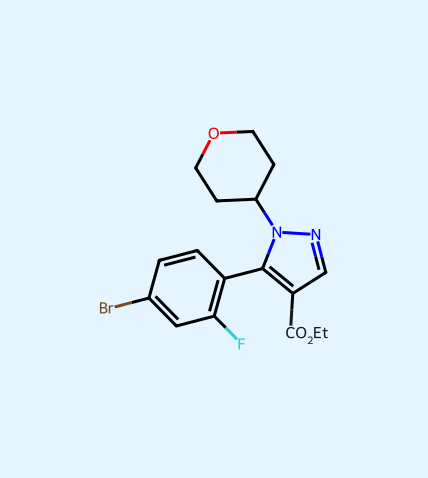 CCOC(=O)c1cnn(C2CCOCC2)c1-c1ccc(Br)cc1F